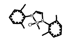 Cc1cccc(C)c1N1C=CN(c2c(C)cccc2C)[Si]1(C)Cl